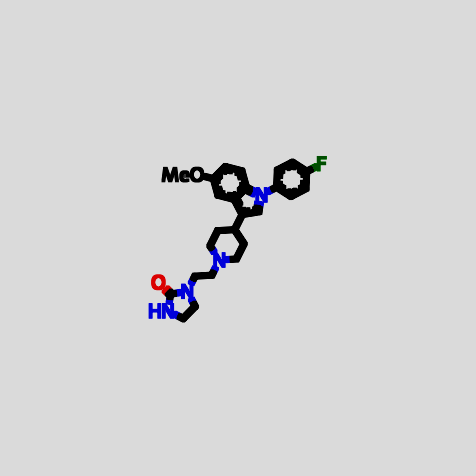 COc1ccc2c(c1)c(C1CCN(CCN3CCNC3=O)CC1)cn2-c1ccc(F)cc1